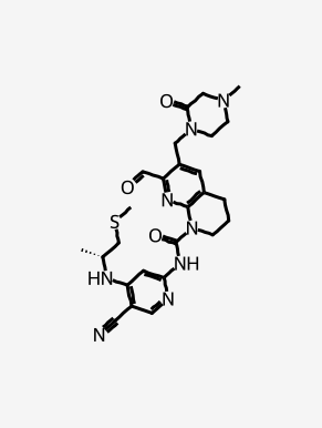 CSC[C@@H](C)Nc1cc(NC(=O)N2CCCc3cc(CN4CCN(C)CC4=O)c(C=O)nc32)ncc1C#N